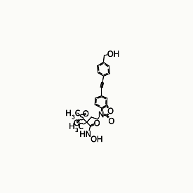 CC(CCn1c(=O)oc2cc(C#Cc3ccc(CO)cc3)ccc21)(C(=O)NO)S(C)(=O)=O